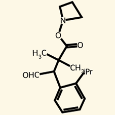 CC(C)c1ccccc1C(C=O)C(C)(C)C(=O)ON1CCC1